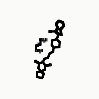 CCn1c(N2CCN(CCCCN3C(=O)CC4(CCCC4)CC3=O)CC2)nc2ccccc21.O=C(O)/C=C/C(=O)O